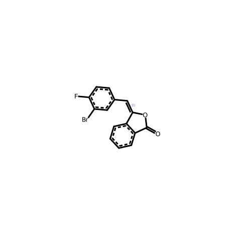 O=C1O/C(=C/c2ccc(F)c(Br)c2)c2ccccc21